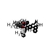 CN1CCC[C@H]1COc1nc2c(F)c(-c3cc(O)cc4ccccc34)c(CCC#N)cc2c(N(C(=O)OC(C)(C)C)C2C3CC2N(C(=O)O)C3)c1C#CCO[Si](C)(C)C(C)(C)C